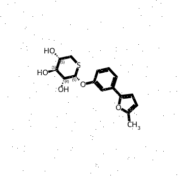 Cc1ccc(-c2cccc(O[C@H]3SC[C@@H](O)[C@H](O)[C@H]3O)c2)o1